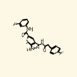 O=C(Cc1ccc(F)cc1)Nc1n[nH]c2sc(C(=O)Nc3cccc(F)c3)cc12